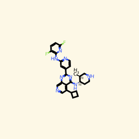 C[C@H]1CNCC[C@@H]1Nc1nc(-c2ccnc(Nc3nc(F)ccc3F)c2)nc2cncc(C3CCC3)c12